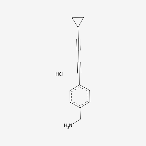 Cl.NCc1ccc(C#CC#CC2CC2)cc1